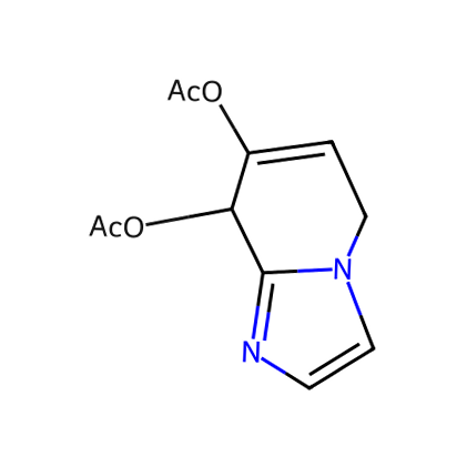 CC(=O)OC1=CCn2ccnc2C1OC(C)=O